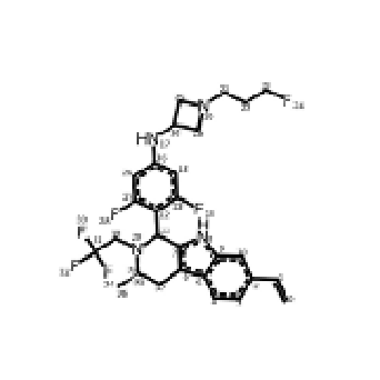 C=Cc1ccc2c3c([nH]c2c1)C(c1c(F)cc(NC2CN(CCCF)C2)cc1F)N(CC(F)(F)F)[C@H](C)C3